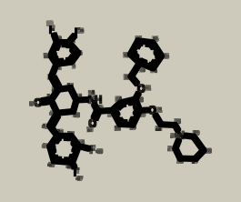 O=C1/C(=C/c2ccc(F)c(F)c2)CC(NC(=O)c2ccc(OCCN3CCCCC3)c(OCc3ccccc3)c2)C/C1=C\c1ccc(F)c(F)c1